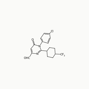 O=Cc1cc(=O)n(-c2ccc(Cl)cc2)c(C2CCC(C(F)(F)F)CC2)n1